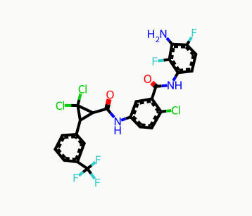 Nc1c(F)ccc(NC(=O)c2cc(NC(=O)C3C(c4cccc(C(F)(F)F)c4)C3(Cl)Cl)ccc2Cl)c1F